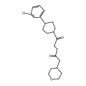 O=C(CCC(=O)N1CCN(c2cccc(Cl)c2)CC1)CN1CCOCC1